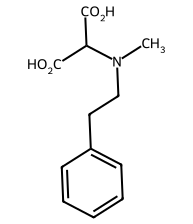 CN(CCc1ccccc1)C(C(=O)O)C(=O)O